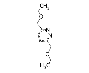 CCOCc1ccc(COCC)nn1